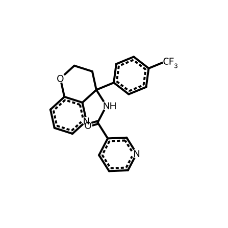 O=C(NC1(c2ccc(C(F)(F)F)cc2)CCOc2cccnc21)c1cccnc1